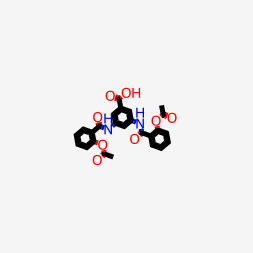 CC(=O)Oc1ccccc1C(=O)Nc1cc(NC(=O)c2ccccc2OC(C)=O)cc(C(=O)O)c1